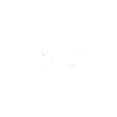 C1=NCCO1.CC/C=C(\C)C(=O)O